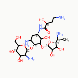 C[C@H](N)[C@H]1O[C@@H](OC2C(O)[C@H](NC(=O)[C@@H](O)CCN)CC(N)[C@H]2O[C@H]2OC(CO)[C@@H](O)C(O)C2N)C(O)C1O